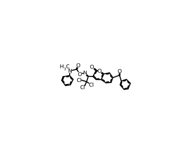 CN(C(=O)O/N=C(/c1cc2ccc(C(=O)c3ccccc3)cc2oc1=O)C(Cl)(Cl)Cl)c1ccccc1